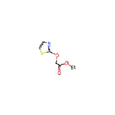 CCOC(=O)COc1nccs1